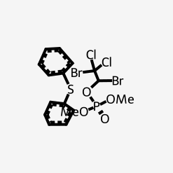 COP(=O)(OC)OC(Br)C(Cl)(Cl)Br.c1ccc(Sc2ccccc2)cc1